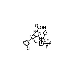 C[C@@H](Nc1nc(C(=O)O)nc2nc(-c3cccc(Cl)c3)n(Cc3ccc(C(F)(F)F)cc3)c12)C1CCC1